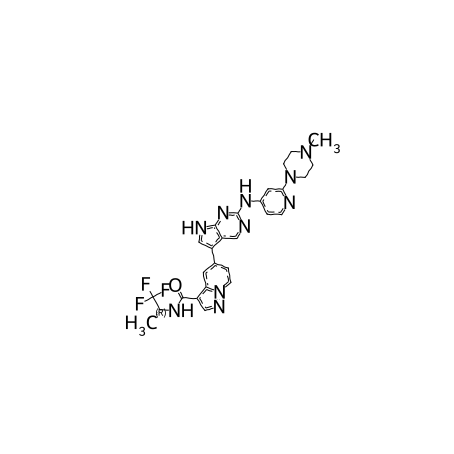 C[C@@H](NC(=O)c1cnn2ccc(-c3c[nH]c4nc(Nc5ccnc(N6CCN(C)CC6)c5)ncc34)cc12)C(F)(F)F